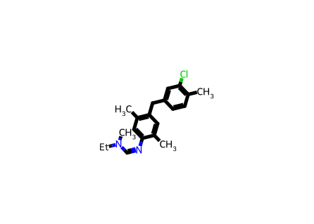 CCN(C)/C=N\c1cc(C)c(Cc2ccc(C)c(Cl)c2)cc1C